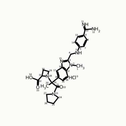 Cl.Cn1c(CNc2ccc(C(=N)N)cc2)nc2cc(C(C)(C(=O)N3CCCC3)N3CCC3C(=O)O)ccc21